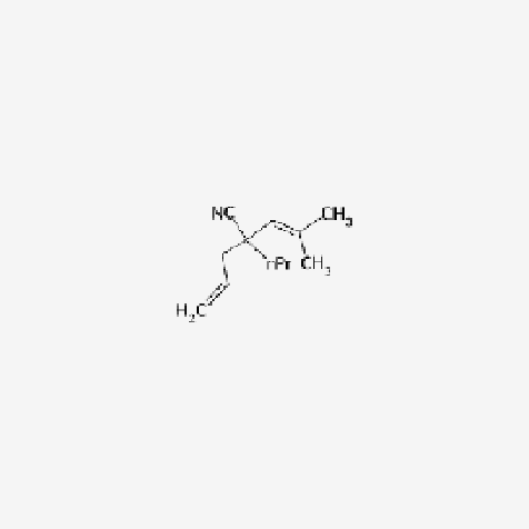 C=CCC(C#N)(C=C(C)C)CCC